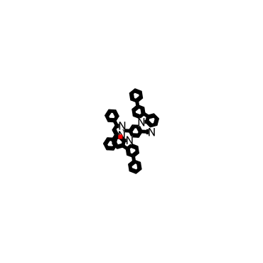 N#Cc1cc(-n2c3ccccc3c3cc(-c4ccccc4)ccc32)c(-c2nc(-c3ccccc3)cc(-c3ccccc3)n2)cc1-n1c2ccccc2c2cc(-c3ccccc3)ccc21